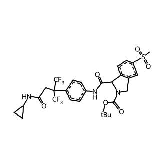 CC(C)(C)OC(=O)N1Cc2cc(S(C)(=O)=O)ccc2C1C(=O)Nc1ccc(C(CC(=O)NC2CC2)(C(F)(F)F)C(F)(F)F)cc1